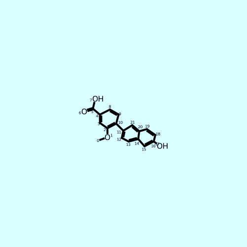 COc1cc(C(=O)O)ccc1-c1ccc2cc(O)ccc2c1